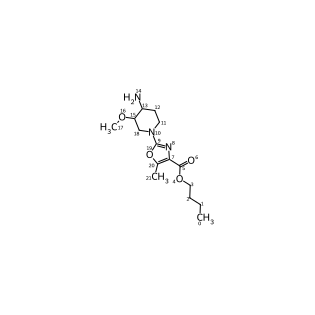 CCCCOC(=O)c1nc(N2CCC(N)C(OC)C2)oc1C